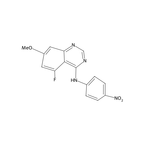 COc1cc(F)c2c(Nc3ccc([N+](=O)[O-])cc3)ncnc2c1